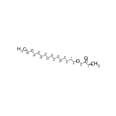 C=CC(=O)COCCCCCCCCCCCCCCCC